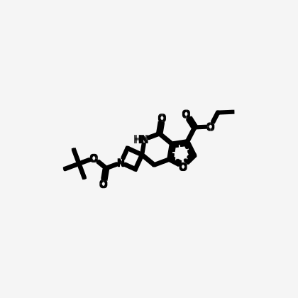 CCOC(=O)c1coc2c1C(=O)NC1(C2)CN(C(=O)OC(C)(C)C)C1